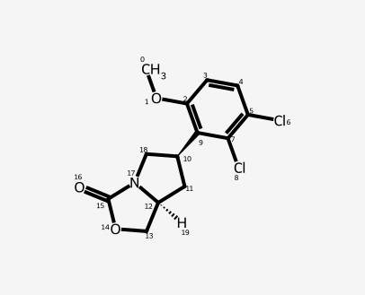 COc1ccc(Cl)c(Cl)c1[C@H]1C[C@H]2COC(=O)N2C1